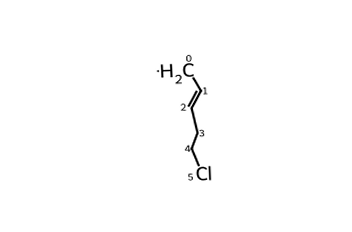 [CH2]/C=C/CCCl